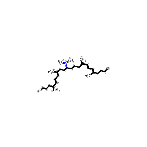 CC(C)CCCC(C)CCCC(C)CCCC(CCC(C)CCCC(C)CCCC(C)C)N(C)C